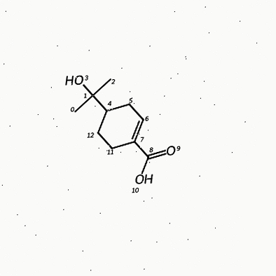 CC(C)(O)C1CC=C(C(=O)O)CC1